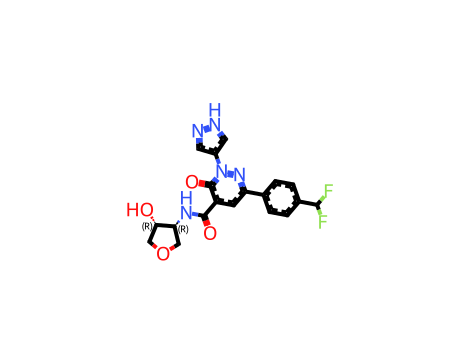 O=C(N[C@@H]1COC[C@@H]1O)c1cc(-c2ccc(C(F)F)cc2)nn(-c2cn[nH]c2)c1=O